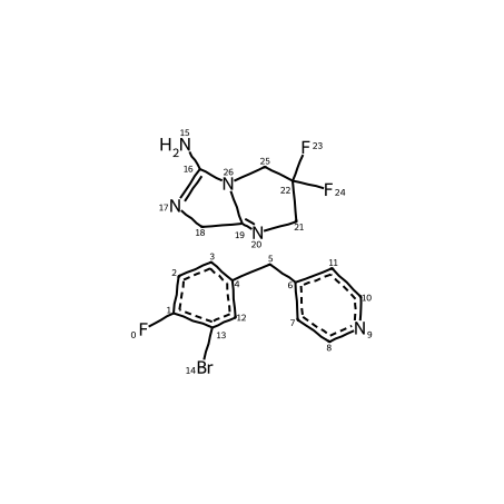 Fc1ccc(Cc2ccncc2)cc1Br.NC1=NCC2=NCC(F)(F)CN12